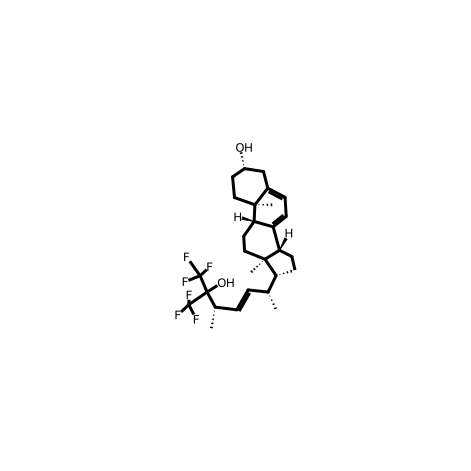 C[C@H](/C=C/[C@H](C)C(O)(C(F)(F)F)C(F)(F)F)[C@H]1CC[C@H]2C3=CC=C4C[C@@H](O)CC[C@]4(C)[C@H]3CC[C@]12C